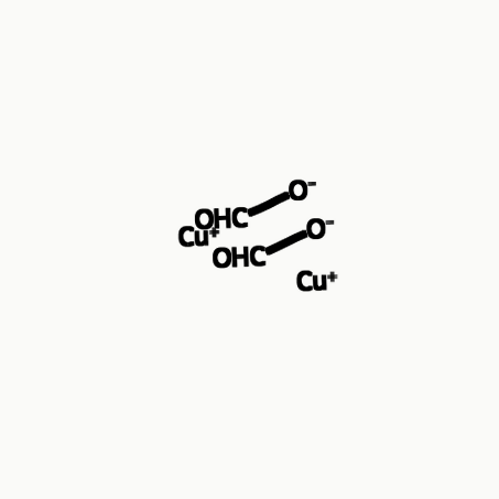 O=C[O-].O=C[O-].[Cu+].[Cu+]